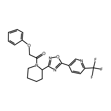 O=C(COc1ccccc1)N1CCCCC1c1noc(-c2ccc(C(F)(F)F)nc2)n1